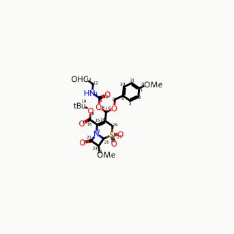 COc1ccc(COC(OC(=O)NCC=O)C2=C(C(=O)OC(C)(C)C)N3C(=O)C(OC)C3S(=O)(=O)C2)cc1